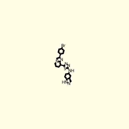 Brc1ccc(-c2cn3cccc(-c4nnc(Nc5ccc6[nH]ncc6c5)s4)c3n2)cc1